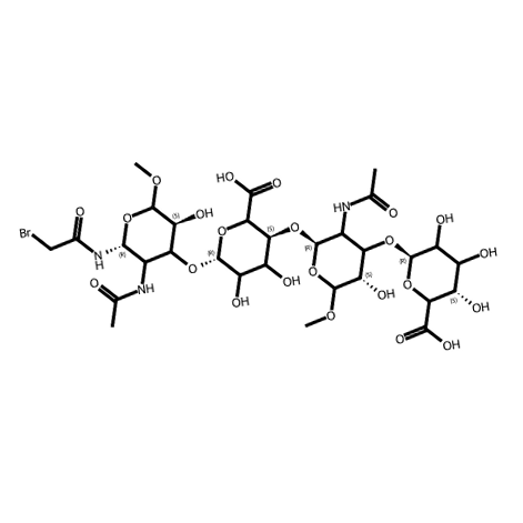 COC1O[C@@H](O[C@@H]2C(C(=O)O)O[C@@H](OC3C(NC(C)=O)[C@H](NC(=O)CBr)OC(OC)[C@H]3O)C(O)C2O)C(NC(C)=O)C(O[C@@H]2OC(C(=O)O)[C@@H](O)C(O)C2O)[C@@H]1O